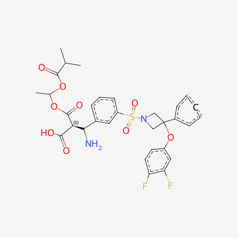 CC(OC(=O)C(C)C)OC(=O)[C@H](C(=O)O)C(N)c1cccc(S(=O)(=O)N2CC(Oc3ccc(F)c(F)c3)(c3ccccc3)C2)c1